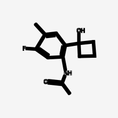 CC(=O)Nc1cc(F)c(C)cc1C1(O)CCC1